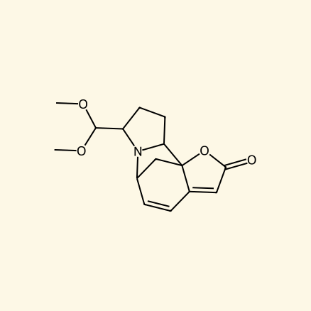 COC(OC)C1CCC2N1C1C=CC3=CC(=O)OC32C1